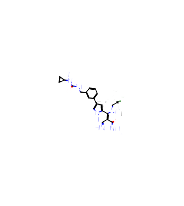 C[C@@H](N/C(=C(/C=N)C(N)=O)c1cc(-c2cccc(CNC(=O)NC3CC3)c2)c[nH]1)C(C)(C)F